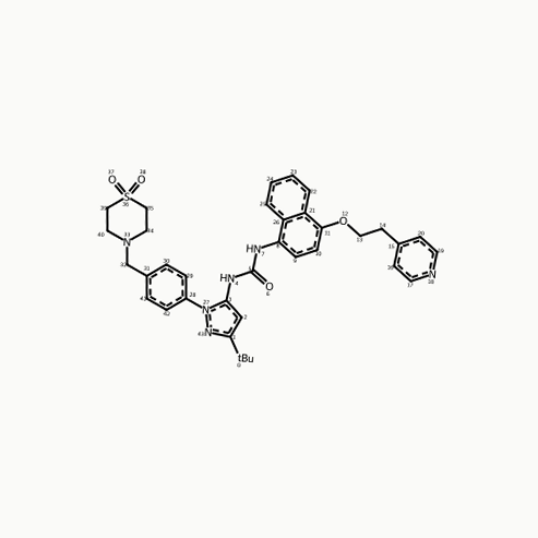 CC(C)(C)c1cc(NC(=O)Nc2ccc(OCCc3ccncc3)c3ccccc23)n(-c2ccc(CN3CCS(=O)(=O)CC3)cc2)n1